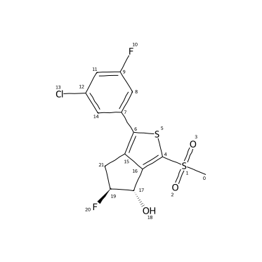 CS(=O)(=O)c1sc(-c2cc(F)cc(Cl)c2)c2c1[C@H](O)[C@@H](F)C2